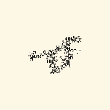 Cc1c(Nc2nc3ccccc3s2)nnc2c1CCCN2c1ccc(-c2cnn(CC34CC5(OCCN6CC[N+](Cc7ccc(NC(=O)[C@H](CCCNC(N)=O)NC(=O)[C@@H](NC(=O)CCOCCN8C(=O)C=CC8=O)C(C)C)cc7)(C(C)C)CC6)C[C@](C)(C3)C[C@](C)(C4)C5)c2C)c(C(=O)O)n1